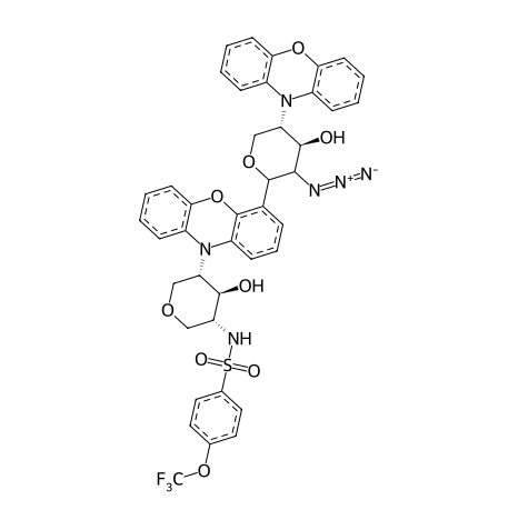 [N-]=[N+]=NC1C(c2cccc3c2Oc2ccccc2N3[C@H]2COC[C@@H](NS(=O)(=O)c3ccc(OC(F)(F)F)cc3)[C@@H]2O)OC[C@H](N2c3ccccc3Oc3ccccc32)[C@H]1O